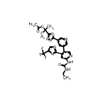 CCNC(=O)Nc1cc(-c2nc(C(F)(F)F)cs2)c(-c2cncc(-c3nnc(C(C)(C)OC(C)=O)o3)c2)cn1